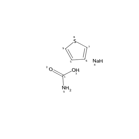 NC(=O)O.[NaH].c1ccsc1